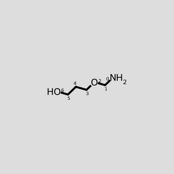 NCOCCCO